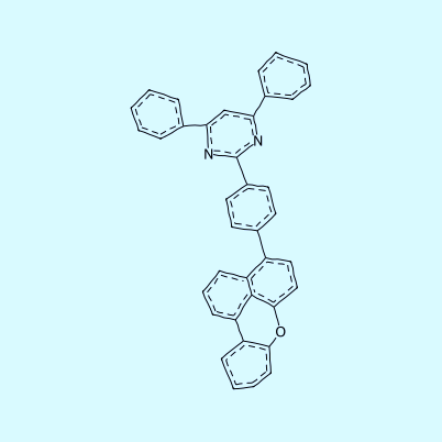 c1ccc(-c2cc(-c3ccccc3)nc(-c3ccc(-c4ccc5c6c(cccc46)-c4ccccc4O5)cc3)n2)cc1